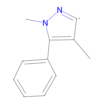 Cc1[c]nn(C)c1-c1ccccc1